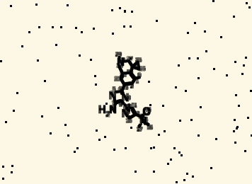 Cc1cc(-c2cnc(N)c(-n3cc(C(=O)N(C)C)cn3)n2)cc2c1C1(CC1)CN(C)C2